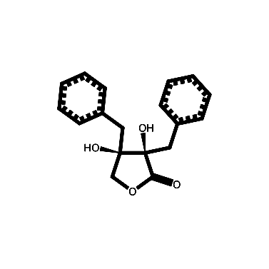 O=C1OC[C@](O)(Cc2ccccc2)[C@]1(O)Cc1ccccc1